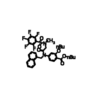 CCCCOC(=O)c1ccc(N(Cc2cccc3ccccc23)C(=O)CN(C)S(=O)(=O)c2c(F)c(F)c(F)c(F)c2F)cc1OCCCC